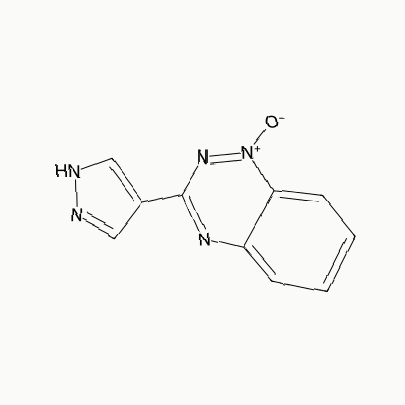 [O-][n+]1nc(-c2cn[nH]c2)nc2ccccc21